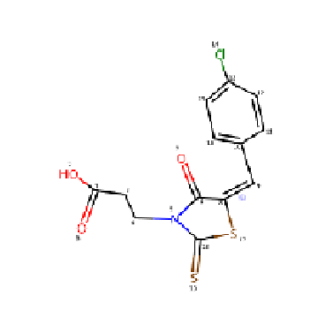 O=C(O)CCN1C(=O)/C(=C\c2ccc(Cl)cc2)SC1=S